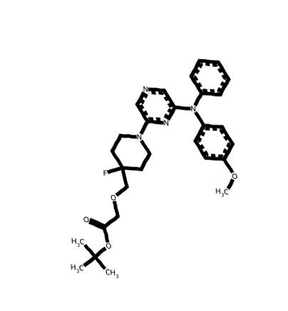 COc1ccc(N(c2ccccc2)c2cncc(N3CCC(F)(COCC(=O)OC(C)(C)C)CC3)n2)cc1